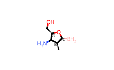 B[C@@H]1O[C@H](CO)C(N)[C@@H]1C